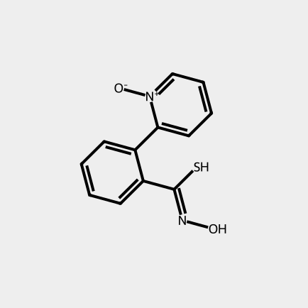 [O-][n+]1ccccc1-c1ccccc1C(S)=NO